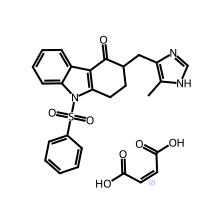 Cc1[nH]cnc1CC1CCc2c(c3ccccc3n2S(=O)(=O)c2ccccc2)C1=O.O=C(O)/C=C\C(=O)O